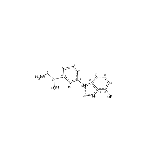 NCC(O)c1cccc(-n2cnc3c(F)cccc32)n1